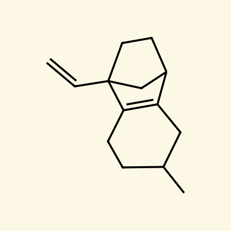 C=CC12CCC(C1)C1=C2CCC(C)C1